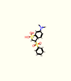 CN(C)c1ccc2c(c1)S(O)(O)CC2S(=O)(=O)c1ccccc1